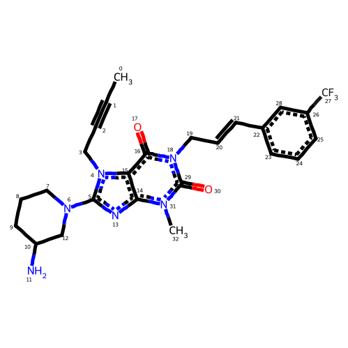 CC#CCn1c(N2CCCC(N)C2)nc2c1c(=O)n(CC=Cc1cccc(C(F)(F)F)c1)c(=O)n2C